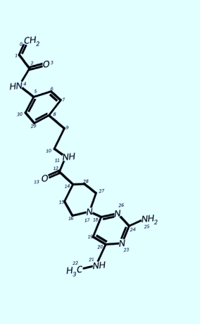 C=CC(=O)Nc1ccc(CCNC(=O)C2CCN(c3cc(NC)nc(N)n3)CC2)cc1